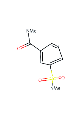 CNC(=O)c1c[c]cc(S(=O)(=O)NC)c1